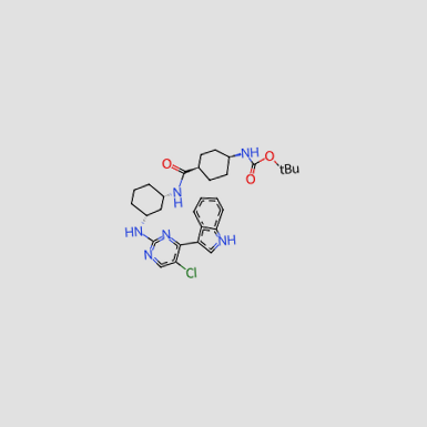 CC(C)(C)OC(=O)N[C@H]1CC[C@@H](C(=O)N[C@H]2CCC[C@@H](Nc3ncc(Cl)c(-c4c[nH]c5ccccc45)n3)C2)CC1